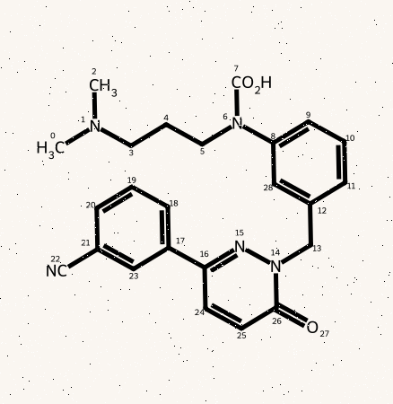 CN(C)CCCN(C(=O)O)c1cccc(Cn2nc(-c3cccc(C#N)c3)ccc2=O)c1